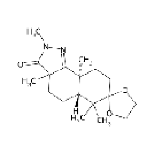 CN1N=C2C(C)(CC[C@H]3C(C)(C)C4(CC[C@]23C)OCCO4)C1=O